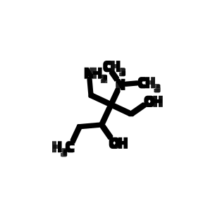 CCC(O)C(CN)(CO)N(C)C